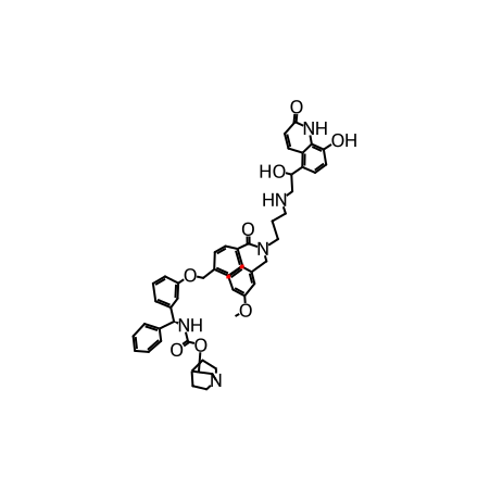 COc1cccc(CN(CCCNCC(O)c2ccc(O)c3[nH]c(=O)ccc23)C(=O)c2ccc(COc3cccc([C@@H](NC(=O)OC4CN5CCC4CC5)c4ccccc4)c3)cc2)c1